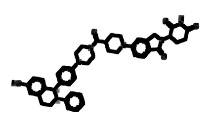 O=C1CCC(N2Cc3cc(N4CCC(C(=O)N5CCN(c6ccc([C@@H]7c8ccc(O)cc8CC[C@@H]7c7ccccc7)cc6)CC5)CC4)ccc3C2=O)C(=O)N1